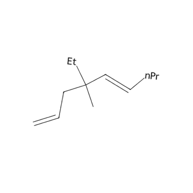 C=CCC(C)(C=CCCC)CC